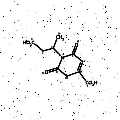 CC(CC(=O)O)N1C(=O)C=C(C(=O)O)CC1=O